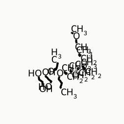 C=CC.C=CC.C=CC.C=CC.C=CC.CCCCOC(=O)CC.CCOCC.OCCO.OCCO